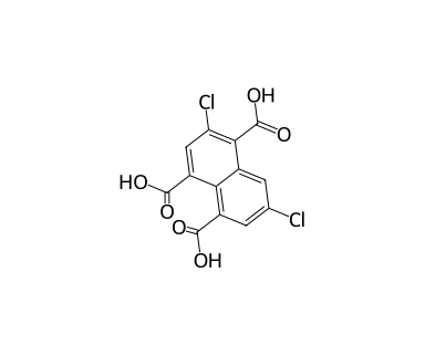 O=C(O)c1c(Cl)cc(C(=O)O)c2c(C(=O)O)cc(Cl)cc12